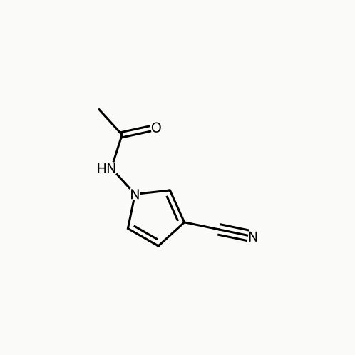 CC(=O)Nn1ccc(C#N)c1